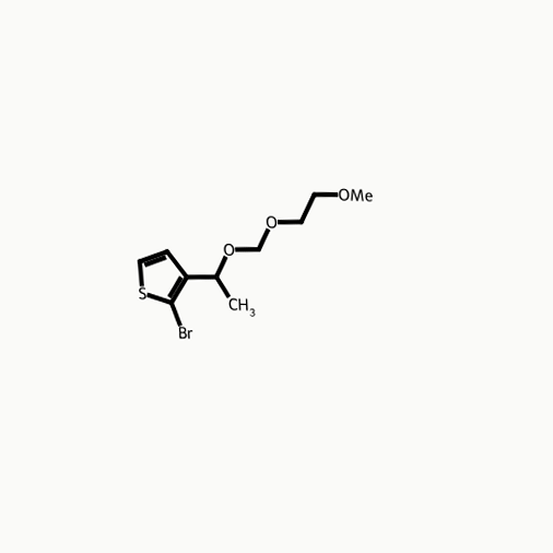 COCCOCOC(C)c1ccsc1Br